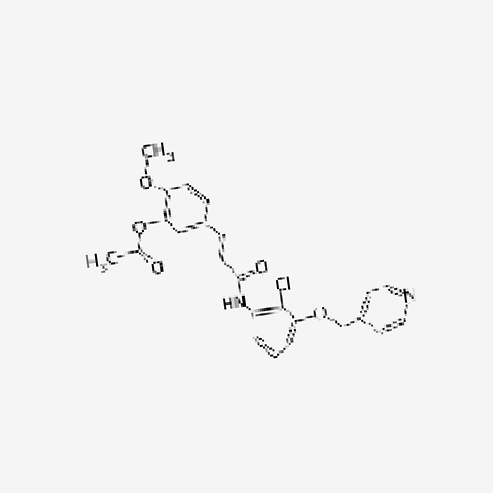 COc1ccc(/C=C/C(=O)Nc2cccc(OCc3ccncc3)c2Cl)cc1OC(C)=O